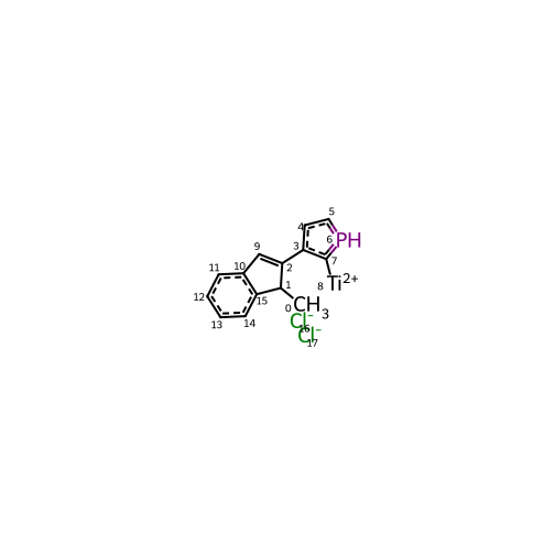 CC1C(c2cc[pH][c]2[Ti+2])=Cc2ccccc21.[Cl-].[Cl-]